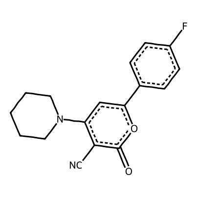 N#Cc1c(N2CCCCC2)cc(-c2ccc(F)cc2)oc1=O